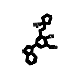 CSc1cc(-c2cnc3ccccn23)cc(OCC2(N)CCSC2)c1C#N